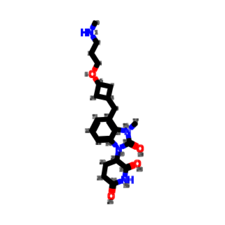 CNCCCOC1CC(Cc2cccc3c2n(C)c(=O)n3C2CCC(=O)NC2=O)C1